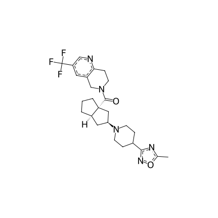 Cc1nc(C2CCN([C@H]3C[C@H]4CCC[C@@]4(C(=O)N4CCc5ncc(C(F)(F)F)cc5C4)C3)CC2)no1